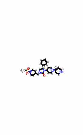 CC1(N2CCC(N3C(=O)N(CC4CCN(S(C)(=O)=O)CC4)C[C@H]3c3ccccc3)CC2)CCNCC1